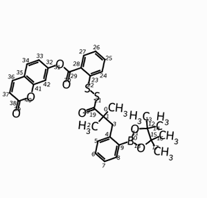 CC(C)(Cc1ccccc1B1OC(C)(C)C(C)(C)O1)C(=O)SSc1ccccc1C(=O)Oc1ccc2ccc(=O)oc2c1